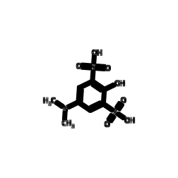 CN(C)c1cc(S(=O)(=O)O)c(O)c(S(=O)(=O)O)c1